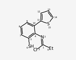 CCC(Cl)=Nc1c(S)cccc1-c1cccs1